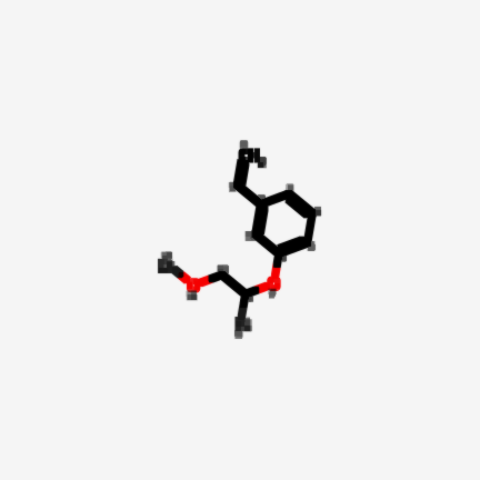 C=Cc1cccc(OC(CC)COCC)c1